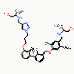 CCOC(=O)C(CO)NCc1cn(CCCOc2cccc(-c3cccc(COc4cc(OC)c(CNC(CO)C(=O)OCC)cc4Cl)c3C)c2C)nn1